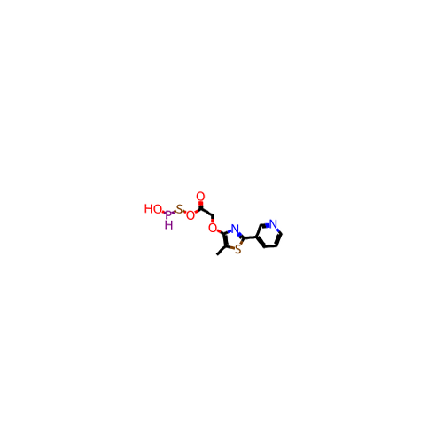 Cc1sc(-c2cccnc2)nc1OCC(=O)OSPO